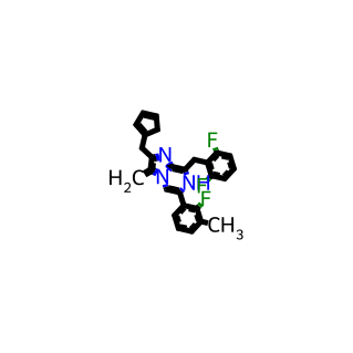 C=c1c(CC2=CC=CC2)nc2n1C=C(c1cccc(C)c1F)NC=2Cc1c(F)cccc1F